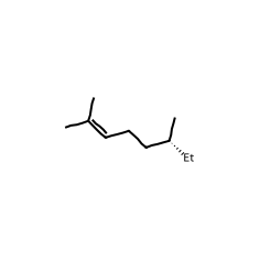 CC[C@@H](C)CCC=C(C)C